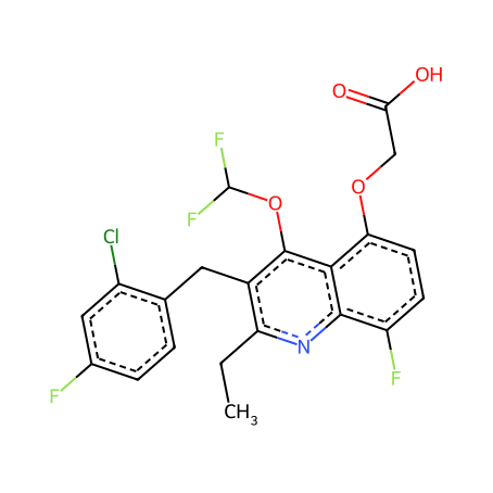 CCc1nc2c(F)ccc(OCC(=O)O)c2c(OC(F)F)c1Cc1ccc(F)cc1Cl